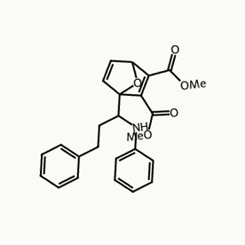 COC(=O)C1=C(C(=O)OC)C2(C(CCc3ccccc3)Nc3ccccc3)C=CC1O2